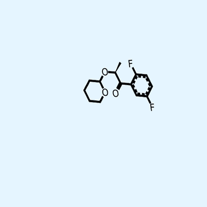 C[C@H](OC1CCCCO1)C(=O)c1cc(F)ccc1F